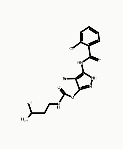 CC(O)CCNC(=O)Oc1n[nH]c(NC(=O)c2ccccc2Cl)c1Br